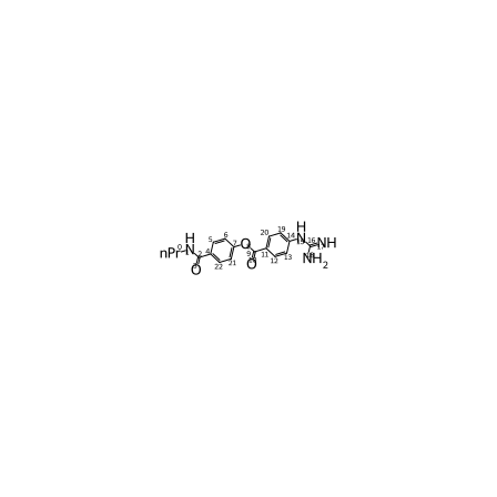 CCCNC(=O)c1ccc(OC(=O)c2ccc(NC(=N)N)cc2)cc1